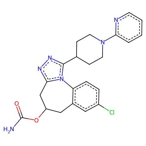 NC(=O)OC1Cc2cc(Cl)ccc2-n2c(nnc2C2CCN(c3ccccn3)CC2)C1